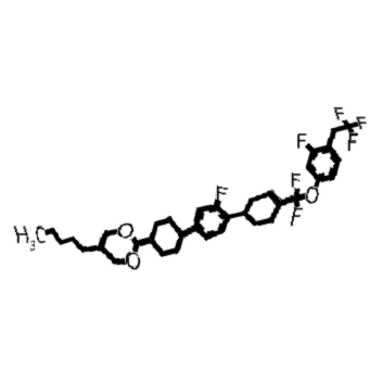 CCCCCC1COC(C2CCC(c3ccc(C4CCC(C(F)(F)Oc5ccc(CC(F)(F)F)c(F)c5)CC4)c(F)c3)CC2)OC1